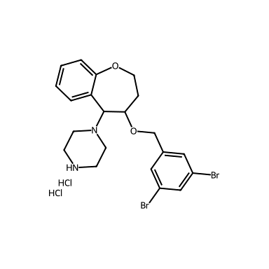 Brc1cc(Br)cc(COC2CCOc3ccccc3C2N2CCNCC2)c1.Cl.Cl